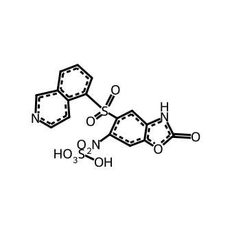 O=S(=O)(O)O.O=c1[nH]c2cc(S(=O)(=O)c3cccc4cnccc34)c([N+](=O)[O-])cc2o1